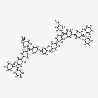 [3H]c1ccc(N(c2ccc(-c3ccc(Nc4ccc(-c5ccc(N(c6ccc([3H])cc6)c6ccc(-c7ccc(N(c8ccccc8)c8ccccc8)cc7)cc6)cc5)cc4)cc3)cc2)c2ccc(-c3ccc(N(c4ccccc4)c4ccccc4)cc3)cc2)cc1